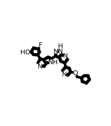 Oc1cc(F)cc(-c2cncc3[nH]c(-c4n[nH]c5ncc(-c6cncc(OCc7ccccc7)c6)cc45)cc23)c1